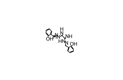 N=C(N/N=C/c1ccccc1O)C(=N)N/N=C/c1ccccc1O